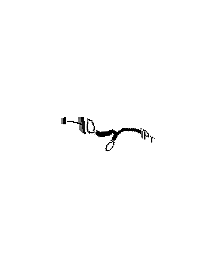 CC(C)CCC(=O)C=CO